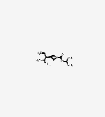 CCC(C(C)C)C1CN(C(=O)NC(C)C)C1